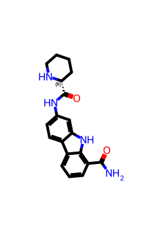 NC(=O)c1cccc2c1[nH]c1cc(NC(=O)[C@H]3CCCCN3)ccc12